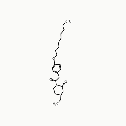 CCCCCCCCCOc1ccc(CC(=O)C2CCC(CC)CC2=O)cc1